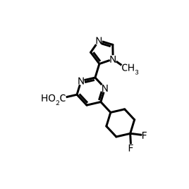 Cn1cncc1-c1nc(C(=O)O)cc(C2CCC(F)(F)CC2)n1